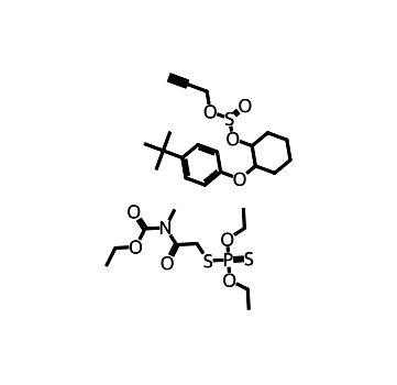 C#CCOS(=O)OC1CCCCC1Oc1ccc(C(C)(C)C)cc1.CCOC(=O)N(C)C(=O)CSP(=S)(OCC)OCC